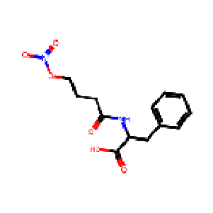 O=C(CCCO[N+](=O)[O-])NC(Cc1ccccc1)C(=O)O